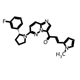 Cn1cccc1/C=C/C(=O)c1cnc2ccc(N3CCC[C@@H]3c3cccc(F)c3)nn12